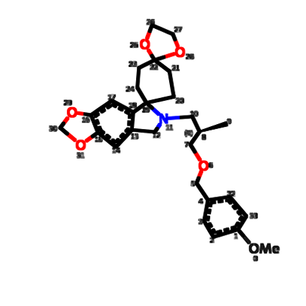 COc1ccc(COC[C@H](C)CN2Cc3cc4c(cc3C23CCC2(CC3)OCCO2)OCO4)cc1